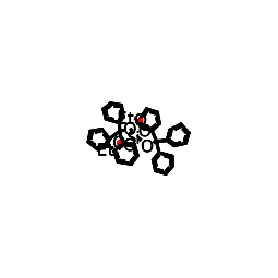 CCOO[Si](OOCC)(OC(c1ccccc1)(c1ccccc1)c1ccccc1)OC(c1ccccc1)(c1ccccc1)c1ccccc1